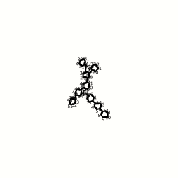 C1=CC(c2ccc(-c3ccccc3)cc2)CC=C1n1c2ccc(-c3ccc4c(c3)c3ccccc3n4-c3ccccc3)cc2c2ccc(-c3ccccc3)cc21